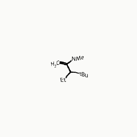 C=C(NC)C(CC)C(C)(C)C